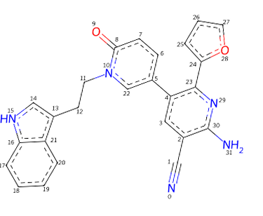 N#Cc1cc(-c2ccc(=O)n(CCc3c[nH]c4ccccc34)c2)c(-c2ccco2)nc1N